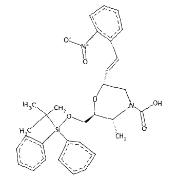 C[C@@H]1[C@@H](CO[Si](c2ccccc2)(c2ccccc2)C(C)(C)C)O[C@H](/C=C/c2ccccc2[N+](=O)[O-])CN1C(=O)O